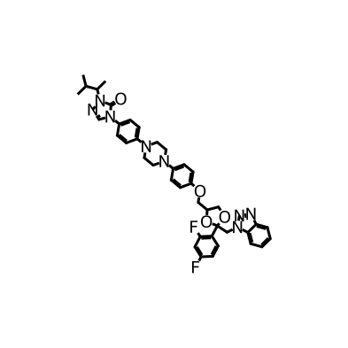 CC(C)C(C)n1ncn(-c2ccc(N3CCN(c4ccc(OCC5COC(Cn6nnc7ccccc76)(c6ccc(F)cc6F)O5)cc4)CC3)cc2)c1=O